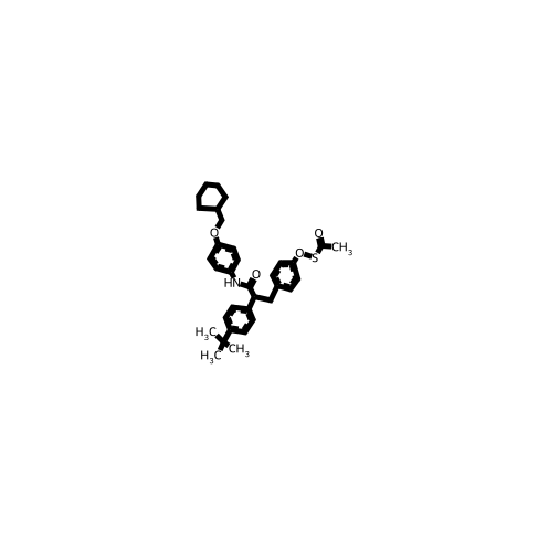 CC(=O)SOc1ccc(CC(C(=O)Nc2ccc(OCC3CCCCC3)cc2)c2ccc(C(C)(C)C)cc2)cc1